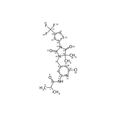 CC(C)C(=O)Nc1cc(CN2C(=O)N(c3cc(C(F)(F)F)cs3)C(=O)C2(C)C)cc(Cl)n1